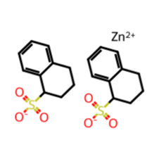 O=S(=O)([O-])C1CCCc2ccccc21.O=S(=O)([O-])C1CCCc2ccccc21.[Zn+2]